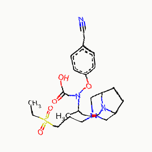 CCS(=O)(=O)CCCN1CC2CCC(C1)N2CC(C)N(Oc1ccc(C#N)cc1)C(=O)O